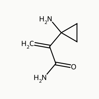 C=C(C(N)=O)C1(N)CC1